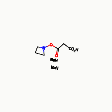 O=C(O)CC(=O)ON1CCC1.[NaH].[NaH]